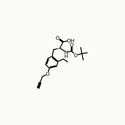 C#CCOc1ccc(C[C@H](NC(=O)OC(C)(C)C)C(=O)O)c(CC)c1